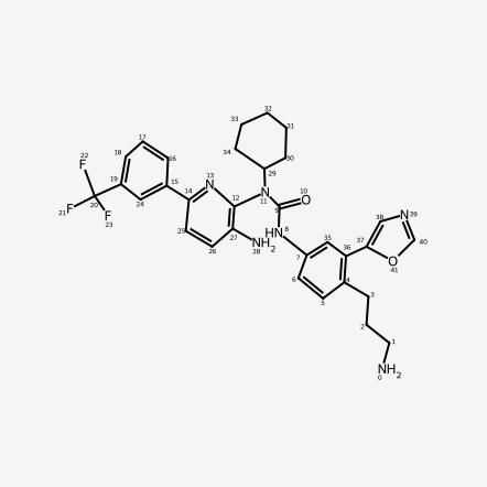 NCCCc1ccc(NC(=O)N(c2nc(-c3cccc(C(F)(F)F)c3)ccc2N)C2CCCCC2)cc1-c1cnco1